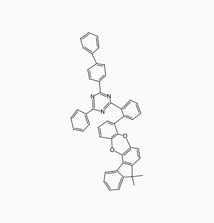 CC1(C)c2ccccc2-c2c1ccc1c2Oc2cccc(-c3ccccc3-c3nc(-c4ccccc4)nc(-c4ccc(-c5ccccc5)cc4)n3)c2O1